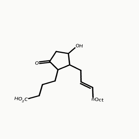 CCCCCCCCC=CCC1C(O)CC(=O)C1CCCC(=O)O